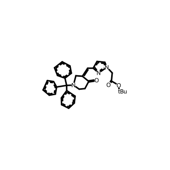 CC(C)(C)OC(=O)Cn1ccc(/C=C2/CN(C(c3ccccc3)(c3ccccc3)c3ccccc3)CCC2=O)n1